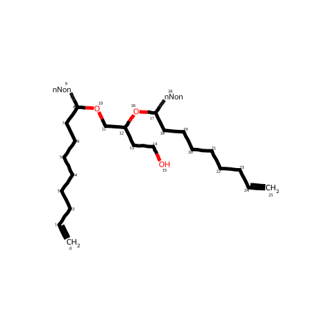 C=CCCCCCCC(CCCCCCCCC)OCC(CCO)OC(CCCCCCC=C)CCCCCCCCC